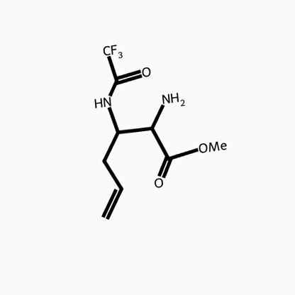 C=CCC(NC(=O)C(F)(F)F)C(N)C(=O)OC